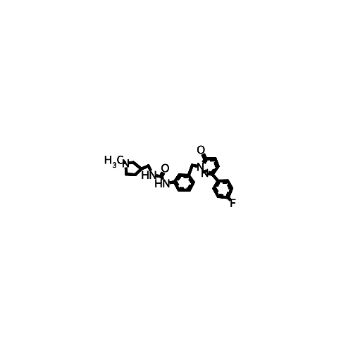 CN1CCC(CNC(=O)Nc2cccc(Cn3nc(-c4ccc(F)cc4)ccc3=O)c2)C1